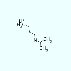 CCCC[N-]C(C)C.[Li+]